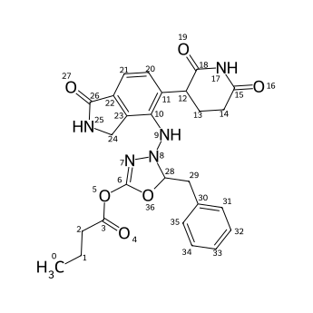 CCCC(=O)OC1=NN(Nc2c(C3CCC(=O)NC3=O)ccc3c2CNC3=O)C(Cc2ccccc2)O1